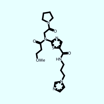 COCCC(=O)N(CC(=O)N1CCCC1)c1ncc(C(=O)NCCCn2ccnc2)s1